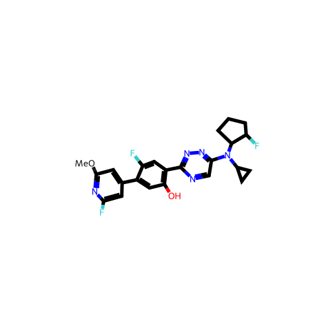 COc1cc(-c2cc(O)c(-c3ncc(N(C4CC4)C4CCCC4F)nn3)cc2F)cc(F)n1